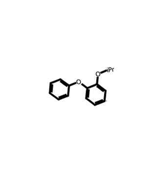 CC(C)Oc1c[c]ccc1Oc1ccccc1